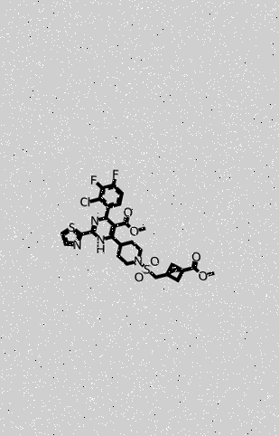 COC(=O)C1=C(C2CCN(S(=O)(=O)CC34CC(C(=O)OC)(C3)C4)CC2)NC(c2nccs2)=NC1c1ccc(F)c(F)c1Cl